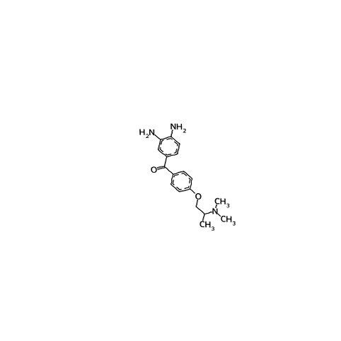 CC(COc1ccc(C(=O)c2ccc(N)c(N)c2)cc1)N(C)C